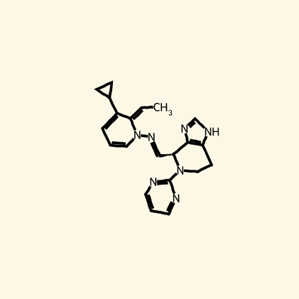 C/C=C1/C(C2CC2)=CC=CN1/N=C/[C@H]1c2nc[nH]c2CCN1c1ncccn1